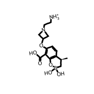 C[C@H]1C[B-](O)(O)Oc2c1ccc(OC1CN(CC[NH3+])C1)c2C(=O)O